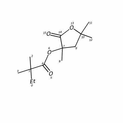 CCC(C)(C)C(=O)OC1(C)CC(C)(C)OC1=O